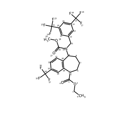 CCOC(=O)N1CCCC(N(Cc2cc(C(F)(F)F)cc(C(F)(F)F)c2)C(=O)OC)c2ccc(C(F)(F)F)cc21